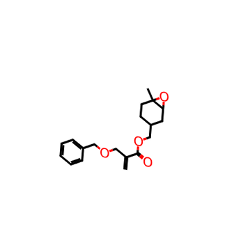 C=C(COCc1ccccc1)C(=O)OCC1CCC2(C)OC2C1